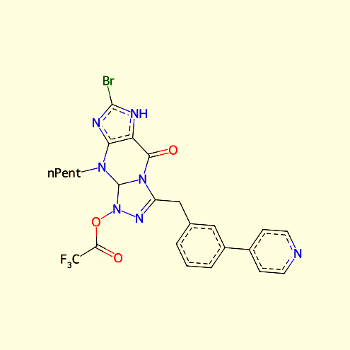 CCCCCN1c2nc(Br)[nH]c2C(=O)N2C(Cc3cccc(-c4ccncc4)c3)=NN(OC(=O)C(F)(F)F)C21